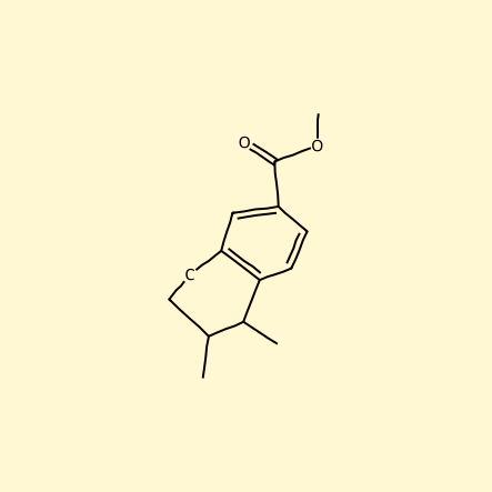 COC(=O)c1ccc2c(c1)CCC(C)C2C